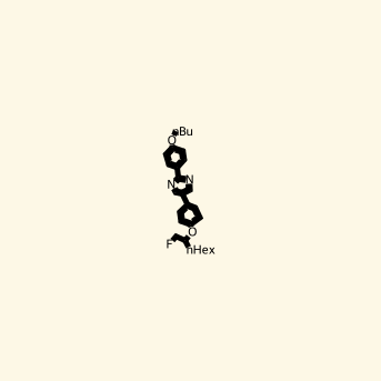 CCCCCCC(CF)Oc1ccc(-c2cnc(-c3ccc(OCCCC)cc3)nc2)cc1